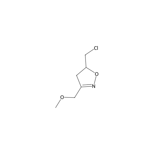 COCC1=NOC(CCl)C1